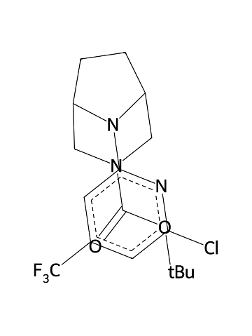 CC(C)(C)OC(=O)N1CC2CCC(C1)N2c1cc(C(F)(F)F)cc(Cl)n1